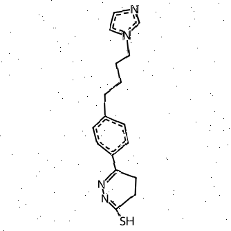 SC1=NN=C(c2ccc(CCCCn3ccnc3)cc2)CC1